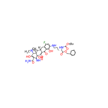 CN(C)[C@@H]1C(O)=C(C(N)=O)C(=N)[C@@]2(O)C(O)=C3C(=O)c4c(O)c(NCCC[C@H](NC(=O)OC(C)(C)C)C(=O)OCc5ccccc5)cc(F)c4C[C@H]3C[C@@H]12